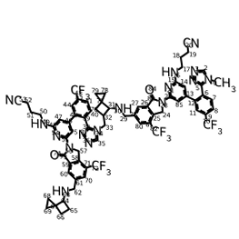 Cn1cnnc1-c1ccc(C(F)(F)F)cc1-c1cc(NCCCC#N)nc(N2Cc3c(cc(CN[C@H]4C(Cn5cnnc5-c5ccc(C(F)(F)F)cc5-c5cc(NCCCC#N)nc(N6Cc7c(cc(CNC8CCC89CC9)cc7C(F)(F)F)C6=O)c5)CC45CC5)cc3C(F)(F)F)C2=O)c1